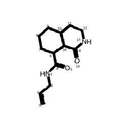 C=CCNC(=O)C1CCCC2CCNC(=O)C21